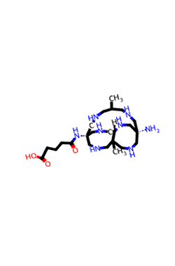 CC1CNC[C@@]2(N)CNCC3(C)CNC[C@@](NC(=O)CCCC(=O)O)(CNC1)CNC[C@@H]3NC2